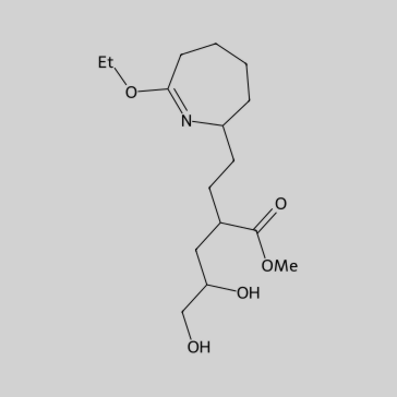 CCOC1=NC(CCC(CC(O)CO)C(=O)OC)CCCC1